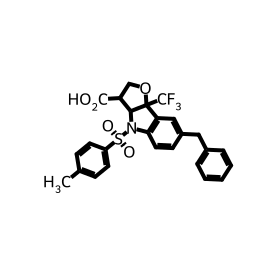 Cc1ccc(S(=O)(=O)N2c3ccc(Cc4ccccc4)cc3C3(C(F)(F)F)OCC(C(=O)O)C23)cc1